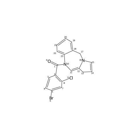 O=C(c1ccc(Br)cc1Cl)N1C=C2CC=CN2Cc2ccccc21